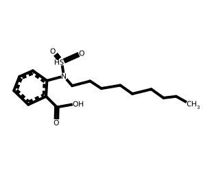 CCCCCCCCCN(c1ccccc1C(=O)O)[SH](=O)=O